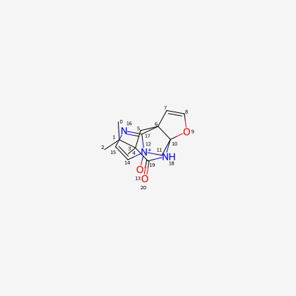 CC(C)C1(C)CC23C=COC2(C[N+]2([O-])C=CN=C32)NC1=O